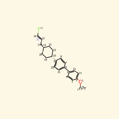 CCCOc1ccc(-c2ccc([C@H]3CC[C@H](C/C=C/F)CC3)cc2)cc1